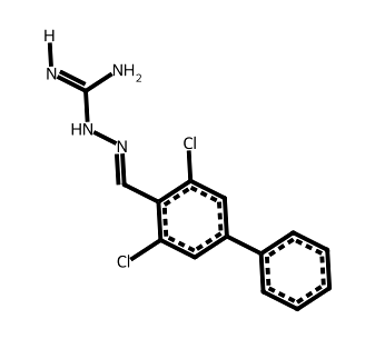 [H]/N=C(\N)NN=Cc1c(Cl)cc(-c2ccccc2)cc1Cl